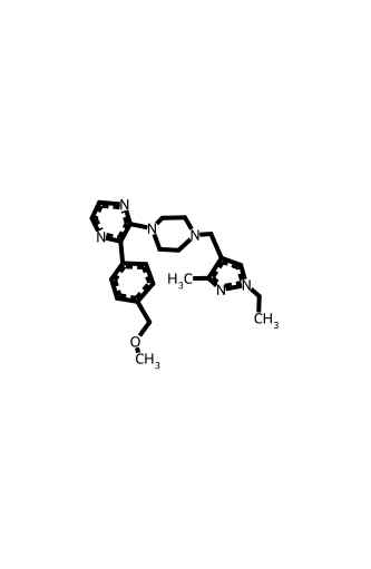 CCn1cc(CN2CCN(c3nccnc3-c3ccc(COC)cc3)CC2)c(C)n1